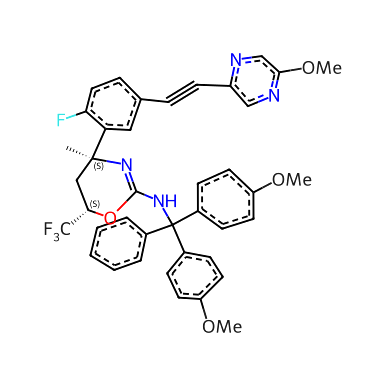 COc1ccc(C(NC2=N[C@](C)(c3cc(C#Cc4cnc(OC)cn4)ccc3F)C[C@@H](C(F)(F)F)O2)(c2ccccc2)c2ccc(OC)cc2)cc1